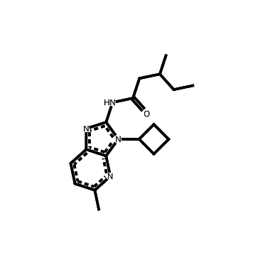 CCC(C)CC(=O)Nc1nc2ccc(C)nc2n1C1CCC1